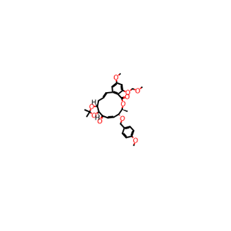 COCOc1cc(OC)cc2c1C(=O)O[C@@H](C)[C@H](OCc1ccc(OC)cc1)/C=C\C(=O)[C@H]1OC(C)(C)O[C@H]1C/C=C/2